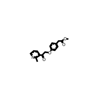 COC(=O)Cc1ccc(OCC(=O)c2cccnc2C)cc1